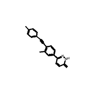 C=C1C=CC(c2ccc(C#Cc3ccc(C)cc3)c(C)c2)=NN1